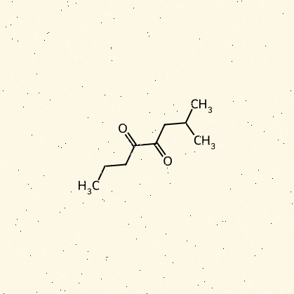 CCCC(=O)C(=O)CC(C)C